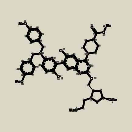 COCCN1C[C@H](OC)C[C@H]1COc1nc(N2CCN(C(=O)OC(C)(C)C)CC2)c2cc(Cl)c(-c3nc(N(Cc4ccc(OC)cc4)Cc4ccc(OC)cc4)ccc3C(F)(F)F)cc2n1